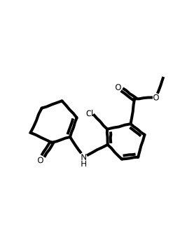 COC(=O)c1cccc(NC2=CCCCC2=O)c1Cl